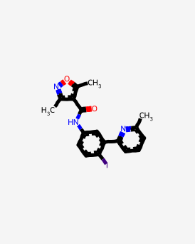 Cc1cccc(-c2cc(NC(=O)c3c(C)noc3C)ccc2I)n1